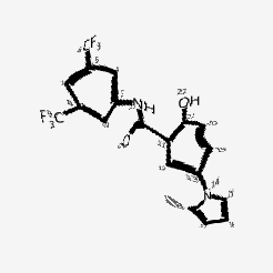 O=C(Nc1cc(C(F)(F)F)cc(C(F)(F)F)c1)c1cc(-n2cccc2)ccc1O